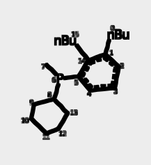 CCCCc1cccc(P(C)C2CCCCC2)c1CCCC